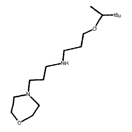 CC(OCCCNCCCN1CCOCC1)C(C)(C)C